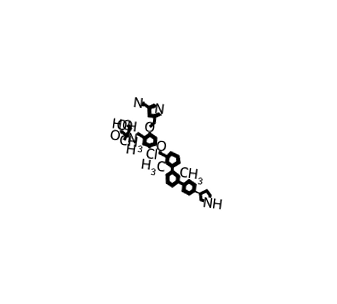 Cc1c(COc2cc(OCc3cncc(C#N)c3)c(CNC(C)(CO)C(=O)O)cc2Cl)cccc1-c1cccc(-c2ccc([C@H]3CCNC3)cc2)c1C